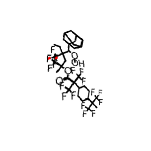 CCC(CC(C)(OC(=O)C(C1CCC(C(C)(C(F)(F)F)C(F)(F)F)CC1)(C(F)(F)F)C(F)(F)F)C(F)(F)F)(C(OO)C12CC3CC(CC(C3)C1)C2)C(F)(F)F